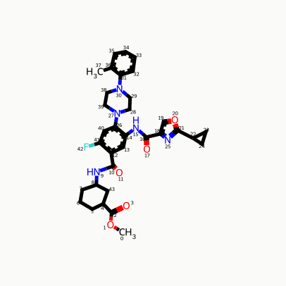 COC(=O)C1CCCC(NC(=O)c2cc(NC(=O)c3coc(C4CC4)n3)c(N3CCN(c4ccccc4C)CC3)cc2F)C1